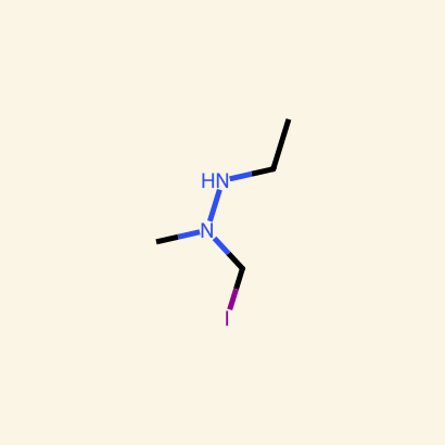 CCNN(C)CI